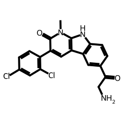 Cn1c(=O)c(-c2ccc(Cl)cc2Cl)cc2c3cc(C(=O)CN)ccc3[nH]c21